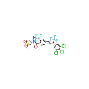 O=C(NC1CS(=O)(=O)C1)c1ccc(/C=C/C(c2cc(Cl)c(Cl)c(Cl)c2)C(F)(F)F)cc1C(F)(F)F